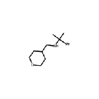 CC(C)C(C)(C)NCC1CCOCC1